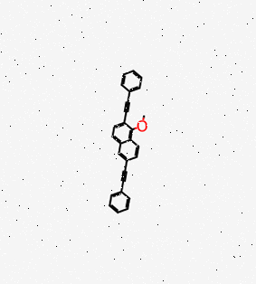 COc1c(C#Cc2ccccc2)ccc2cc(C#Cc3ccccc3)ccc12